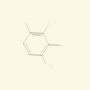 Cc1ccc(Cl)c(N)c1N